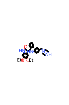 CCOc1cc2c(cc1OCC)C(=C(Nc1ccc(CN3CCNCC3)cc1)c1ccccc1)C(=O)N2